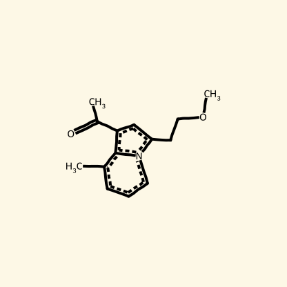 COCCc1cc(C(C)=O)c2c(C)cccn12